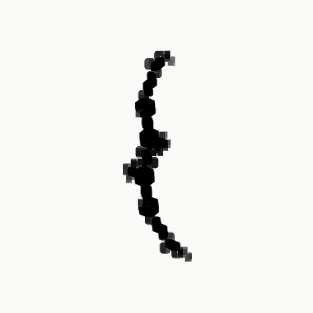 C=CC(=O)OCCCCOc1ccc(C#Cc2ccc(NC(=O)C(=O)Nc3ccc(C#Cc4ccc(OCCCCOC(=O)C=C)cn4)cc3C(F)(F)F)c(C(F)(F)F)c2)nc1